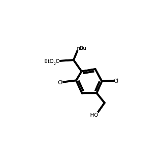 CCCCC(C(=O)OCC)c1cc(Cl)c(CO)cc1Cl